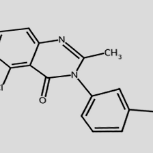 Cc1nc2cccc(Cl)c2c(=O)n1-c1cccc(F)c1